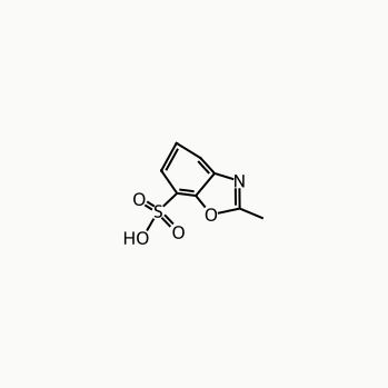 Cc1nc2cccc(S(=O)(=O)O)c2o1